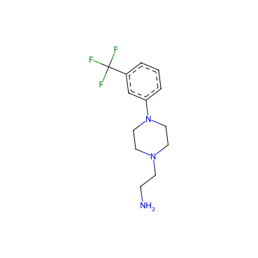 NCCN1CCN(c2cccc(C(F)(F)F)c2)CC1